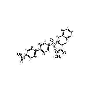 COC(=O)[C@H]1Cc2ccccc2CN1S(=O)(=O)c1ccc(-c2ccc([N+](=O)[O-])cc2)cc1